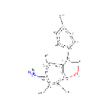 Cc1ccc(C2COc3c(C)c(C)c(N)c(C)c32)cc1